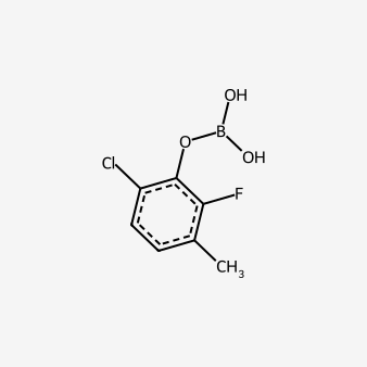 Cc1ccc(Cl)c(OB(O)O)c1F